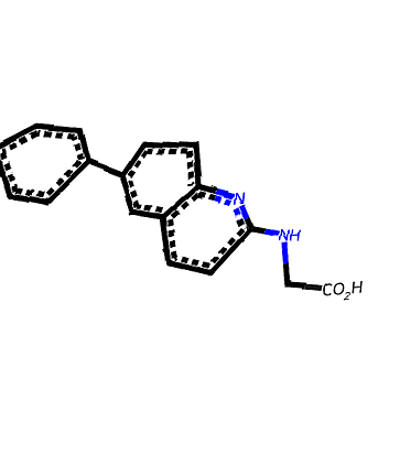 O=C(O)CNc1ccc2cc(-c3ccccc3)ccc2n1